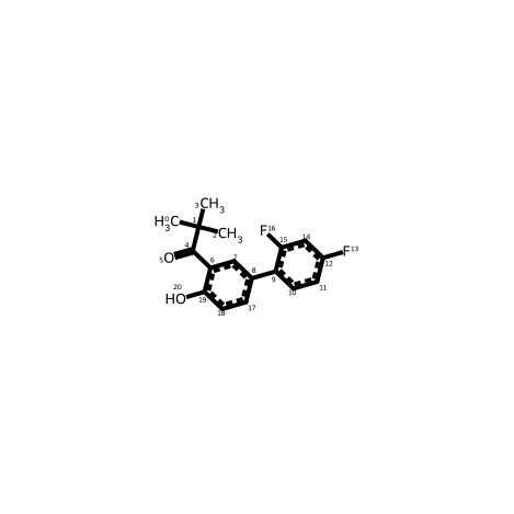 CC(C)(C)C(=O)c1cc(-c2ccc(F)cc2F)ccc1O